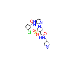 CN1CCC(CNC(=O)CC2CCN(c3ncccc3NC(=O)c3cccc(Cl)c3)CC2S(C)(=O)=O)CC1